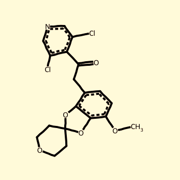 COc1ccc(CC(=O)c2c(Cl)cncc2Cl)c2c1OC1(CCOCC1)O2